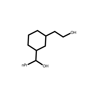 CCCC(O)C1CCCC(CCO)C1